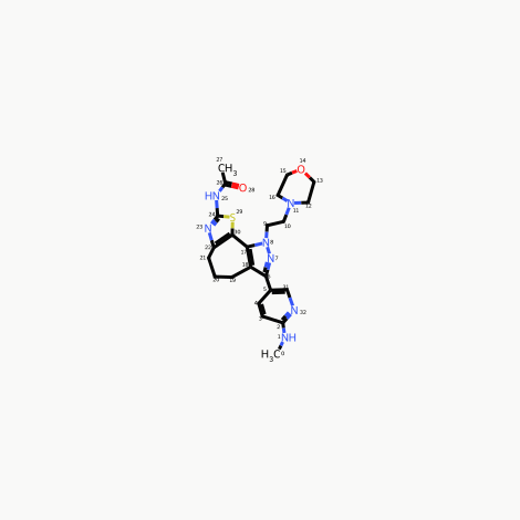 CNc1ccc(-c2nn(CCN3CCOCC3)c3c2CCCc2nc(NC(C)=O)sc2-3)cn1